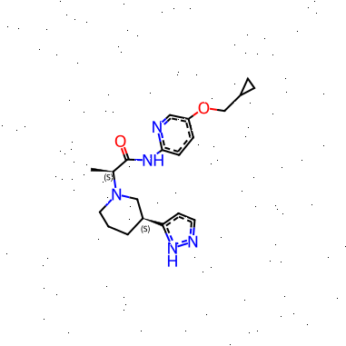 C[C@@H](C(=O)Nc1ccc(OCC2CC2)cn1)N1CCC[C@H](c2ccn[nH]2)C1